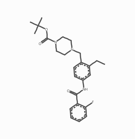 CCc1cc(NC(=O)c2ccccc2F)ccc1CN1CCN(C(=O)OC(C)(C)C)CC1